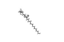 CCCCCCCCCCCCCCC(=O)OCCC[N+](C)(C)C